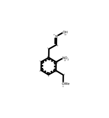 COCc1cccc(C/C=N/O)c1[N+](=O)[O-]